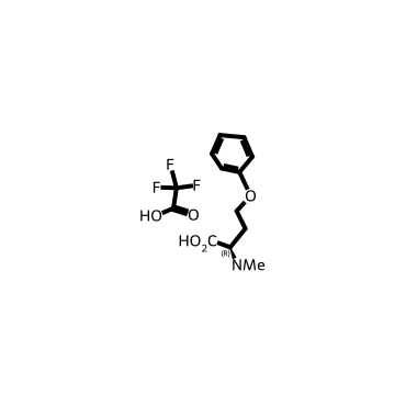 CN[C@H](CCOc1ccccc1)C(=O)O.O=C(O)C(F)(F)F